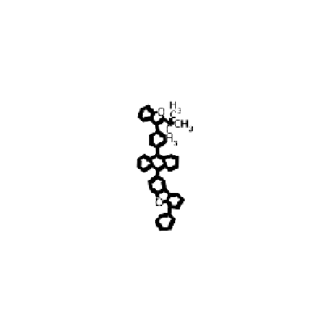 CC(C)(C)c1oc2ccccc2c1-c1ccc(-c2c3ccccc3c(-c3ccc4oc5c(-c6ccccc6)cccc5c4c3)c3ccccc23)cc1